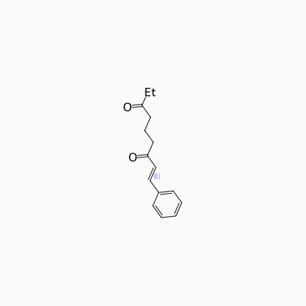 CCC(=O)CCCC(=O)/C=C/c1ccccc1